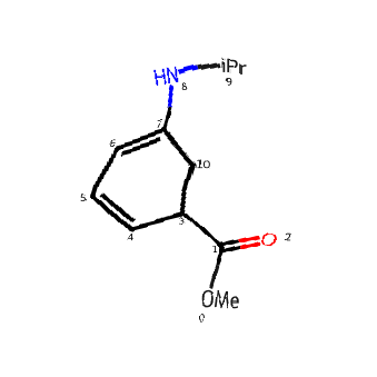 COC(=O)C1C=CC=C(NC(C)C)C1